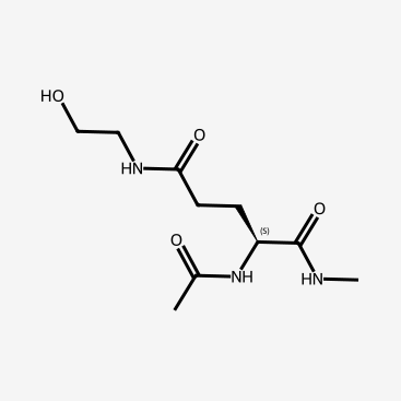 CNC(=O)[C@H](CCC(=O)NCCO)NC(C)=O